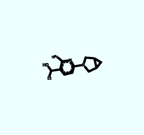 CCCc1nc(N2CC3CC3C2)ccc1C(O)CC